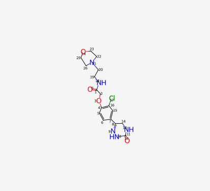 O=C(COc1ccc(C2=NNC(=O)NC2)cc1Cl)NCCN1CCOCC1